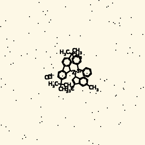 CC1=C[CH]([Zr+2](=[C](c2ccccc2)c2ccccc2)[CH]2c3cc(C(C)(C)C)ccc3-c3ccc(C(C)(C)C)cc32)c2ccc(C)cc21.[Cl-].[Cl-]